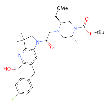 COC[C@H]1CN(C(=O)OC(C)(C)C)[C@H](C)CN1CC(=O)N1CC(C)(C)c2nc(CO)c(Cc3ccc(F)cc3)cc21